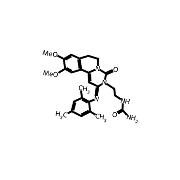 COc1cc2c(cc1OC)-c1c/c(=N\c3c(C)cc(C)cc3C)n(CCNC(N)=O)c(=O)n1CC2